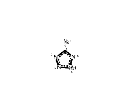 [Na+].c1nn[nH]n1